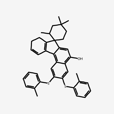 Cc1ccccc1Sc1cc2c(O)cc3c(c2cc1Sc1ccccc1C)C1=C(CCC=C1)C31CCC(C)(C)CC1C